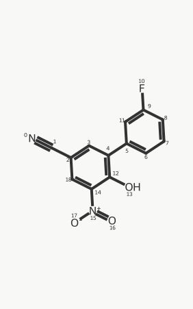 N#Cc1cc(-c2cccc(F)c2)c(O)c([N+](=O)[O-])c1